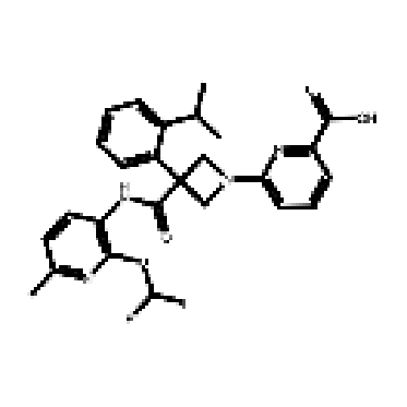 Cc1ccc(NC(=O)C2(c3ccccc3C(C)C)CN(c3cccc(C(=O)O)n3)C2)c(OC(F)F)n1